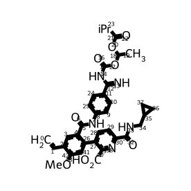 C=Cc1cc(C(=O)Nc2ccc(C(=N)NC(=O)OC(C)OC(=O)C(C)C)cc2)c(-c2ccc(C(=O)NCC3CC3)nc2C(=O)O)cc1OC